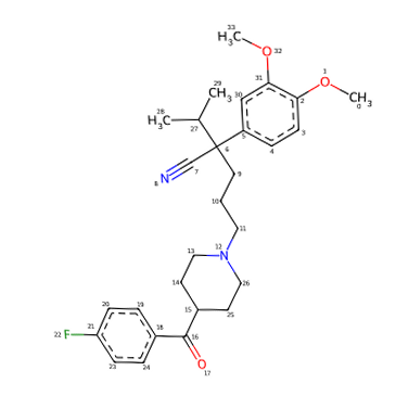 COc1ccc(C(C#N)(CCCN2CCC(C(=O)c3ccc(F)cc3)CC2)C(C)C)cc1OC